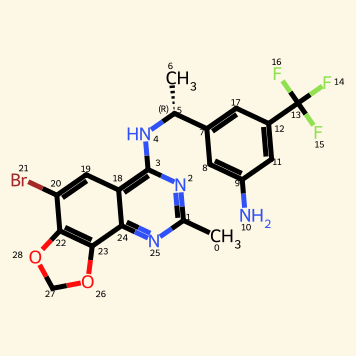 Cc1nc(N[C@H](C)c2cc(N)cc(C(F)(F)F)c2)c2cc(Br)c3c(c2n1)OCO3